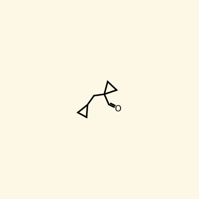 O=CC1(CC2CC2)CC1